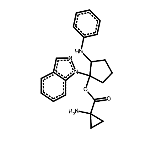 NC1(C(=O)OC2(n3ncc4ccccc43)CCCC2Nc2ccccc2)CC1